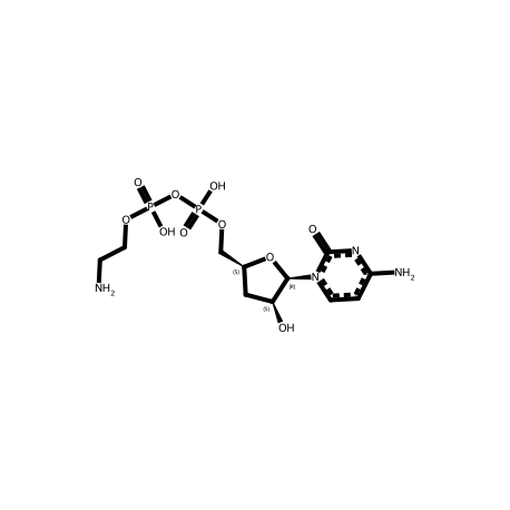 NCCOP(=O)(O)OP(=O)(O)OC[C@@H]1C[C@H](O)[C@H](n2ccc(N)nc2=O)O1